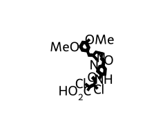 COc1cc(C=C2CCn3c2nc2cc(NC(=O)C(Cl)=C(Cl)C(=O)O)ccc2c3=O)cc(OC)c1